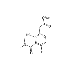 COC(=O)Cc1ccc(F)c(C(=O)N(C)C)c1S